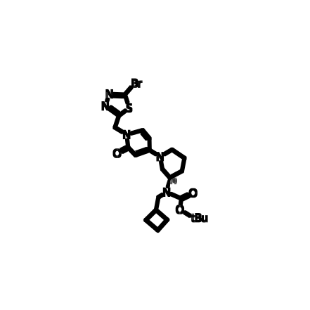 CC(C)(C)OC(=O)N(CC1CCC1)[C@@H]1CCCN(c2ccn(Cc3nnc(Br)s3)c(=O)c2)C1